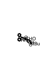 CC(C)(C)OC(=O)N1CCC(C=O)(NC(=O)OCC2c3ccccc3-c3ccccc32)CC1